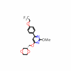 COc1nc(OC[C@H]2COCCO2)cc(-c2ccc(OCC(F)(F)F)cc2)n1